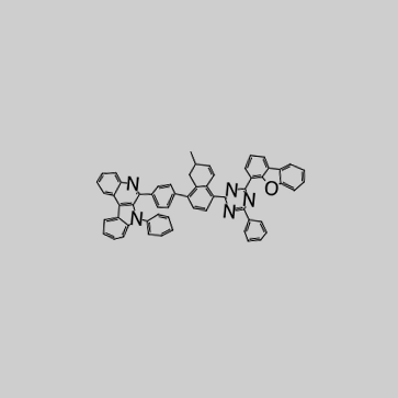 CC1C=Cc2c(-c3nc(-c4ccccc4)nc(-c4cccc5c4oc4ccccc45)n3)ccc(-c3ccc(-c4nc5ccccc5c5c6ccccc6n(-c6ccccc6)c45)cc3)c2C1